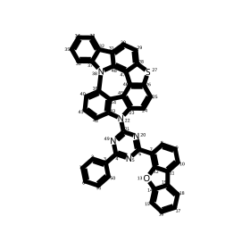 c1ccc(-c2nc(-c3cccc4c3oc3ccccc34)nc(-n3c4ccc5sc6ccc7c8ccccc8n8c9cccc3c9c4c5c6c78)n2)cc1